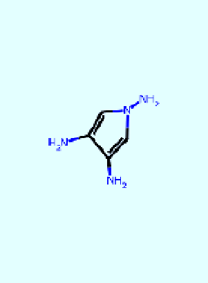 Nc1cn(N)cc1N